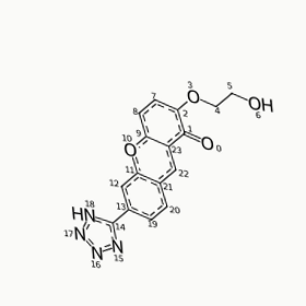 O=c1c(OCCO)ccc2oc3cc(-c4nnn[nH]4)ccc3cc1-2